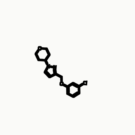 Clc1cccc(OCc2ccn(C3CCOCC3)n2)c1